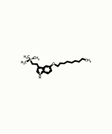 CCCCCCCCCOc1ccc2[nH]cc(CC[N+](C)(C)C)c2c1